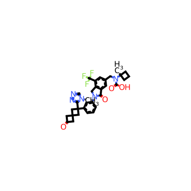 Cn1cnnc1C1(c2cccc(N3Cc4c(cc(CN(C(=O)O)C5(C)CCC5)cc4C(F)(F)F)C3=O)c2)CC2(CC(=O)C2)C1